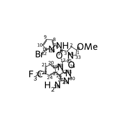 CO[C@@H]1C[C@H](C(=O)Nc2cccc(Br)n2)N(C(=O)Cn2c3ccc(C(F)(F)F)cc3c3c(N)ncnc32)C1